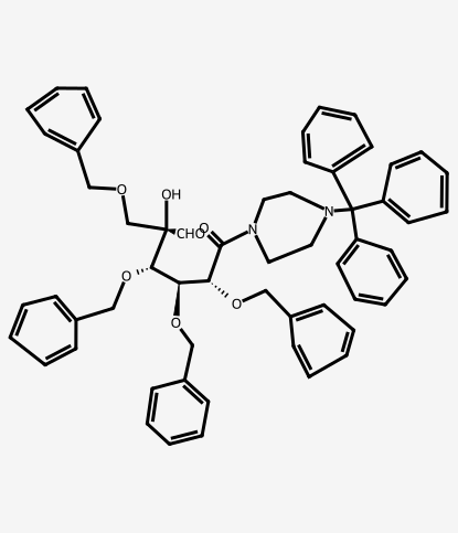 O=C[C@](O)(COCc1ccccc1)[C@@H](OCc1ccccc1)[C@H](OCc1ccccc1)[C@@H](OCc1ccccc1)C(=O)N1CCN(C(c2ccccc2)(c2ccccc2)c2ccccc2)CC1